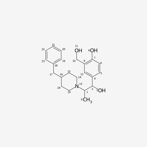 CC(C(O)c1ccc(O)c(CO)c1)N1CCC(Cc2ccccc2)CC1